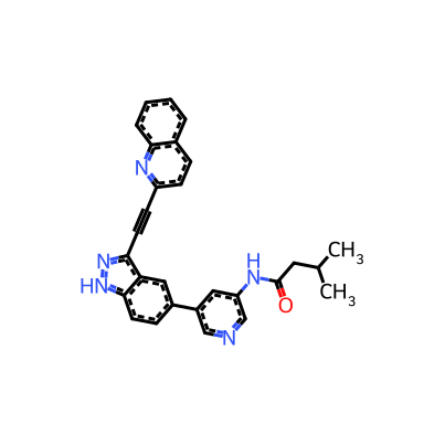 CC(C)CC(=O)Nc1cncc(-c2ccc3[nH]nc(C#Cc4ccc5ccccc5n4)c3c2)c1